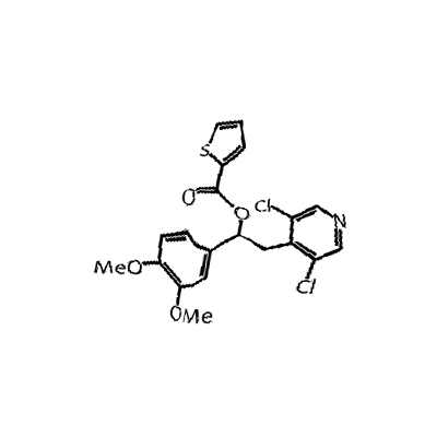 COc1ccc([C@H](Cc2c(Cl)cncc2Cl)OC(=O)c2cccs2)cc1OC